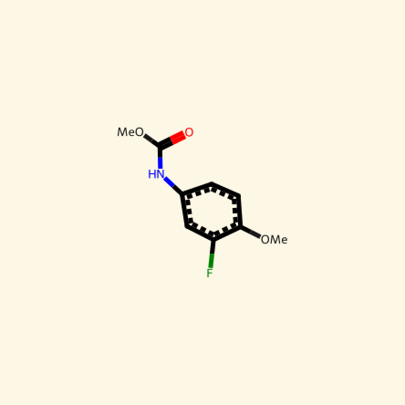 COC(=O)Nc1ccc(OC)c(F)c1